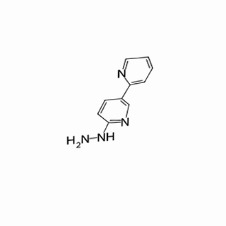 NNc1ccc(-c2ccccn2)cn1